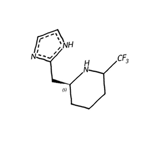 FC(F)(F)C1CCC[C@@H](Cc2ncc[nH]2)N1